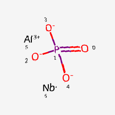 O=P([O-])([O-])[O-].[Al+3].[Nb]